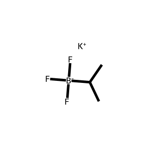 CC(C)[B-](F)(F)F.[K+]